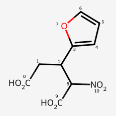 O=C(O)CC(c1ccco1)C(C(=O)O)[N+](=O)[O-]